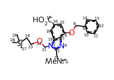 CNC.Cc1nc2c(OCc3ccccc3)cc(C(=O)O)cc2n1COCC[Si](C)(C)C